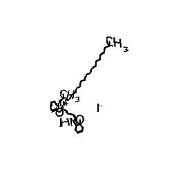 CCCCCCCCCCCCCCCCCCCC[N+]1(CCC)c2ccccc2OC1C=CC=C1Nc2ccccc2O1.[I-]